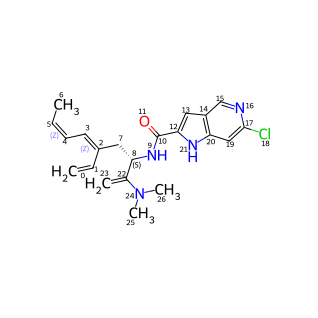 C=C/C(=C\C=C/C)C[C@H](NC(=O)c1cc2cnc(Cl)cc2[nH]1)C(=C)N(C)C